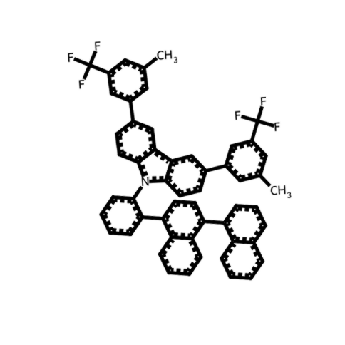 Cc1cc(-c2ccc3c(c2)c2cc(-c4cc(C)cc(C(F)(F)F)c4)ccc2n3-c2ccccc2-c2ccc(-c3cccc4ccccc34)c3ccccc23)cc(C(F)(F)F)c1